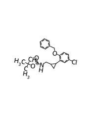 CC(C)(C)OC(=O)NCC1CC1c1cc(Cl)ccc1OCc1ccccc1